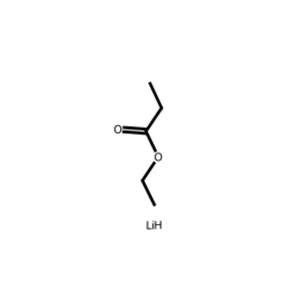 CCOC(=O)CC.[LiH]